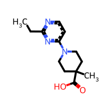 CCc1nccc(N2CCC(C)(C(=O)O)CC2)n1